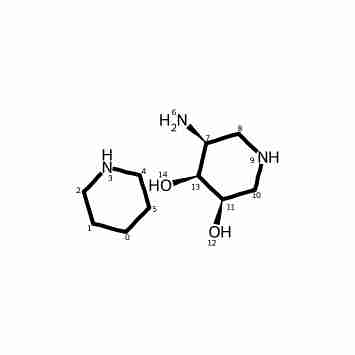 C1CCNCC1.N[C@H]1CNC[C@@H](O)[C@H]1O